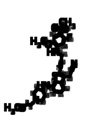 COCCN1CCC(Nc2cccc3c(CC#N)c(C#CCNc4cc(F)c(S(C)(=O)=O)cc4OC)sc23)CC1